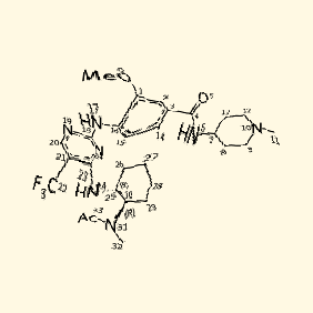 COc1cc(C(=O)NC2CCN(C)CC2)ccc1Nc1ncc(C(F)(F)F)c(N[C@@H]2CCCC[C@H]2N(C)C(C)=O)n1